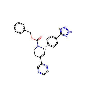 O=C(OCc1ccccc1)N1CCC(c2cnccn2)=C[C@H]1c1ccc(-c2nn[nH]n2)cc1